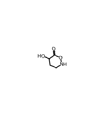 O=C1ONCCC1O